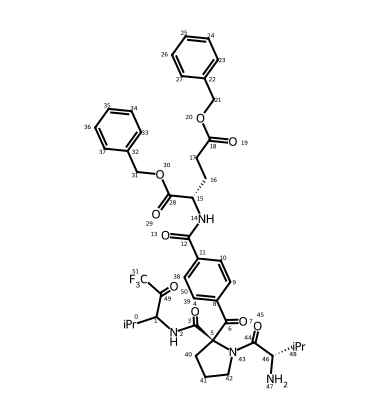 CC(C)C(NC(=O)[C@]1(C(=O)c2ccc(C(=O)N[C@@H](CCC(=O)OCc3ccccc3)C(=O)OCc3ccccc3)cc2)CCCN1C(=O)[C@@H](N)C(C)C)C(=O)C(F)(F)F